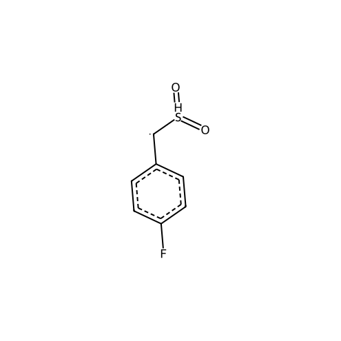 O=[SH](=O)[CH]c1ccc(F)cc1